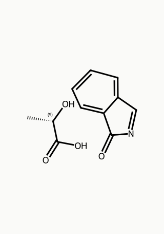 C[C@H](O)C(=O)O.O=C1N=Cc2ccccc21